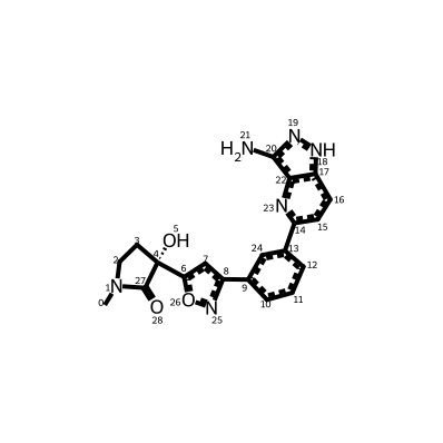 CN1CC[C@@](O)(c2cc(-c3cccc(-c4ccc5[nH]nc(N)c5n4)c3)no2)C1=O